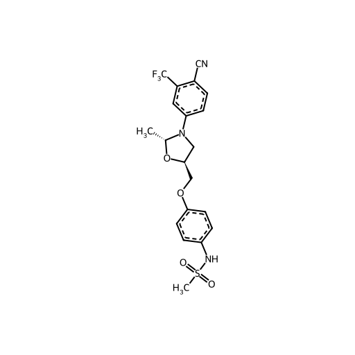 C[C@H]1O[C@H](COc2ccc(NS(C)(=O)=O)cc2)CN1c1ccc(C#N)c(C(F)(F)F)c1